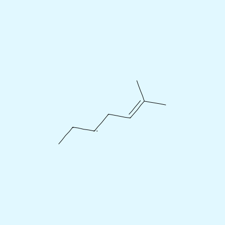 CC[CH]CC=C(C)C